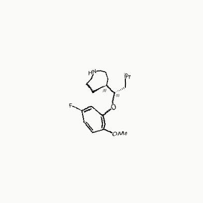 COc1ccc(F)cc1O[C@@H](CC(C)C)[C@H]1CCNC1